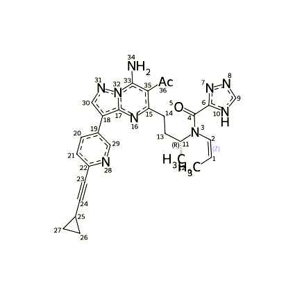 C/C=C\N(C(=O)c1nnc[nH]1)[C@H](C)CCc1nc2c(-c3ccc(C#CC4CC4)nc3)cnn2c(N)c1C(C)=O